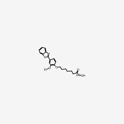 CCOc1cc(-c2nc3ccccc3s2)ccc1OCCCCCCC(=O)NO